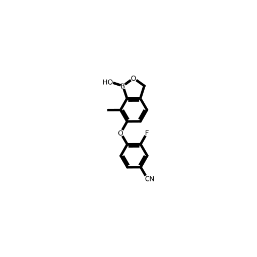 Cc1c(Oc2ccc(C#N)cc2F)ccc2c1B(O)OC2